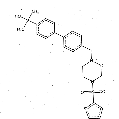 CC(C)(O)c1ccc(-c2ccc(CN3CCN(S(=O)(=O)c4cccs4)CC3)cc2)cc1